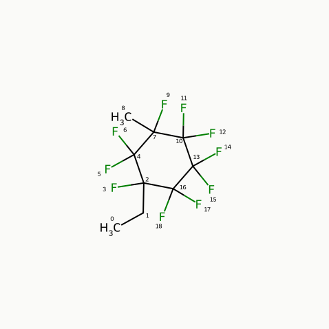 CCC1(F)C(F)(F)C(C)(F)C(F)(F)C(F)(F)C1(F)F